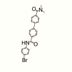 CN(C)C(=O)c1ccc(-c2ccc(C(=O)Nc3ccc(Br)cc3)cc2)cc1